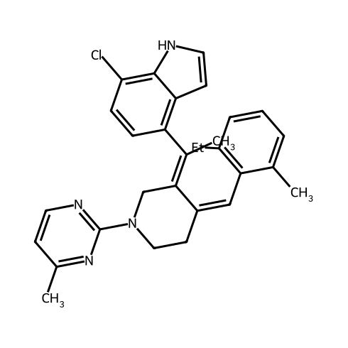 CCc1cccc(C)c1/C=C1/CCN(c2nccc(C)n2)C/C1=C(/C)c1ccc(Cl)c2[nH]ccc12